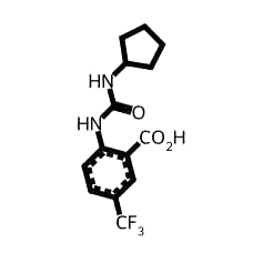 O=C(Nc1ccc(C(F)(F)F)cc1C(=O)O)NC1CCCC1